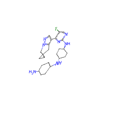 NC1CCC(N[C@H]2CC[C@H](Nc3ncc(F)c(-c4cnn5c4CC4(CC4)C5)n3)CC2)CC1